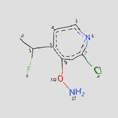 CC(F)c1ccnc(Cl)c1ON